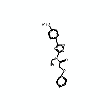 COc1ccc(-c2nnc(N(CC(C)C)C(=O)COc3ccccc3)s2)cc1